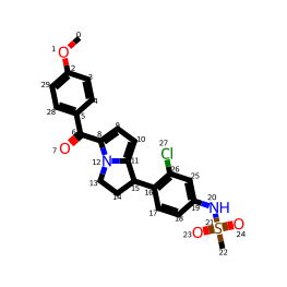 COc1ccc(C(=O)c2ccc3n2CCC3c2ccc(NS(C)(=O)=O)cc2Cl)cc1